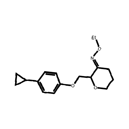 CCON=C1CCCOC1COc1ccc(C2CC2)cc1